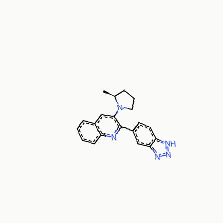 C[C@H]1CCCN1c1cc2ccccc2nc1-c1ccc2[nH]nnc2c1